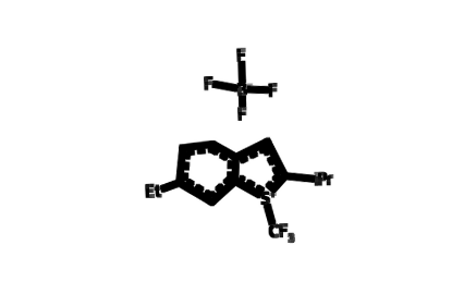 CCc1ccc2cc(C(C)C)[s+](C(F)(F)F)c2c1.F[B-](F)(F)F